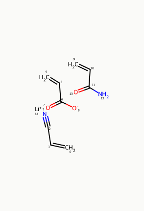 C=CC#N.C=CC(=O)[O-].C=CC(N)=O.[Li+]